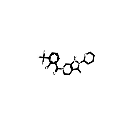 O=C(c1cccc(C(F)(F)F)c1Cl)N1CCC2=C(C1)NN(C1CCCCO1)C2I